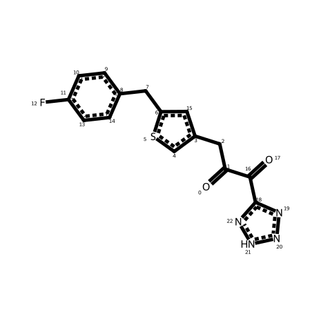 O=C(Cc1csc(Cc2ccc(F)cc2)c1)C(=O)c1nn[nH]n1